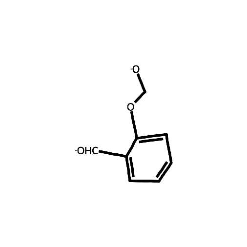 [O]COc1ccccc1[C]=O